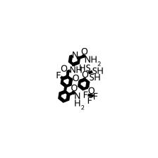 NC(=O)c1cc(NC(=O)c2c(F)cc(-c3ccccc3C(N)=O)cc2Oc2ccc(OC(F)(F)F)cc2OC(S)(S)S)ccn1